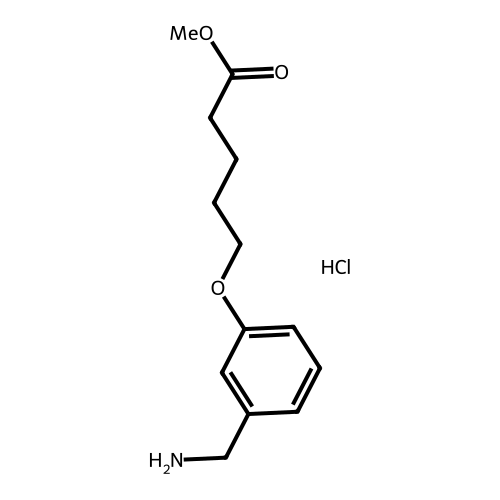 COC(=O)CCCCOc1cccc(CN)c1.Cl